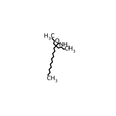 CCCCCCCCCCCCC(CCCC)(CCCC)C(N)=O